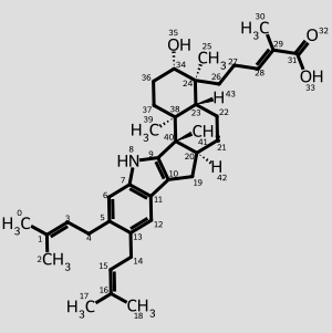 CC(C)=CCc1cc2[nH]c3c(c2cc1CC=C(C)C)C[C@@H]1CC[C@H]2[C@](C)(CC/C=C(\C)C(=O)O)[C@@H](O)CC[C@]2(C)[C@@]31C